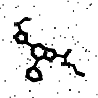 C=CCNC(=O)c1cn2cc(-c3cnc(NC(C)CC)s3)cc(-c3ccccc3)c2n1